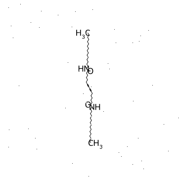 CCCCCCCCCCCCCCCCNC(=O)CCCCCC#CC#CCCCCCC(=O)NCCCCCCCCCCCCCCCC